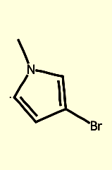 Cn1[c]cc(Br)c1